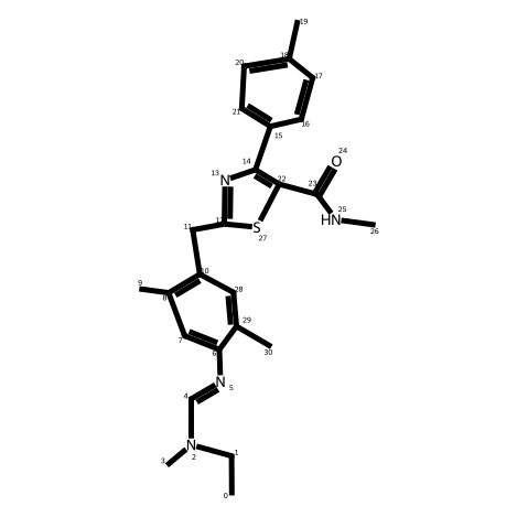 CCN(C)/C=N/c1cc(C)c(Cc2nc(-c3ccc(C)cc3)c(C(=O)NC)s2)cc1C